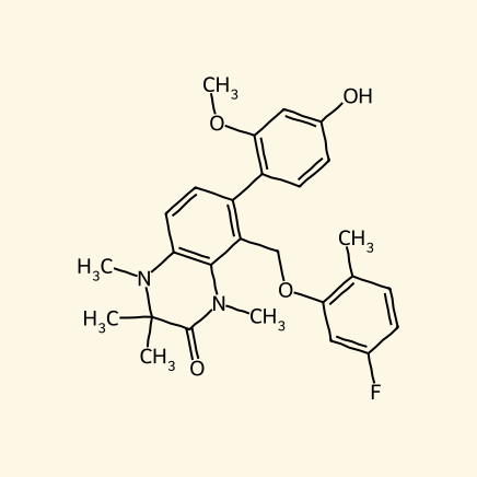 COc1cc(O)ccc1-c1ccc2c(c1COc1cc(F)ccc1C)N(C)C(=O)C(C)(C)N2C